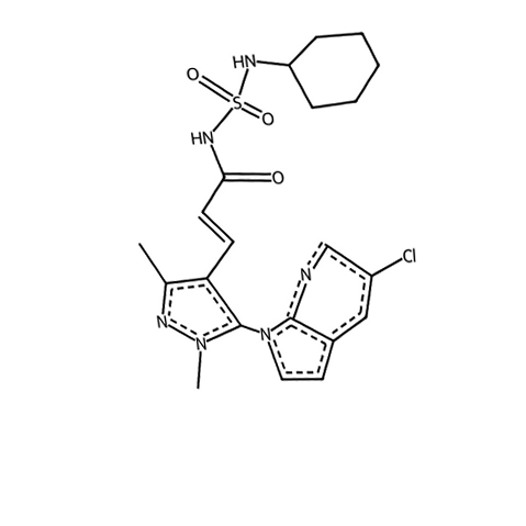 Cc1nn(C)c(-n2ccc3cc(Cl)cnc32)c1C=CC(=O)NS(=O)(=O)NC1CCCCC1